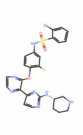 O=S(=O)(Nc1ccc(Oc2nccnc2-c2ccnc(N[C@H]3CCCNC3)n2)c(F)c1)c1ccccc1Cl